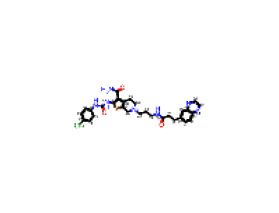 NC(=O)c1c(NC(=O)Nc2ccc(Cl)cc2)sc2c1CCN(CCCNC(=O)CCc1ccc3nccnc3c1)C2